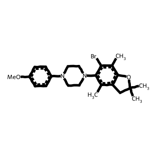 COc1ccc(N2CCN(c3c(C)c4c(c(C)c3Br)OC(C)(C)C4)CC2)cc1